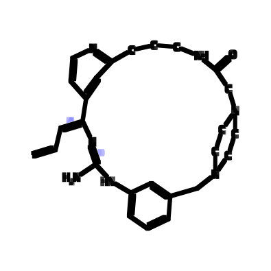 C=C/C=C1\N=C(/N)Nc2cccc(c2)CN2CCN(CC2)CC(=O)NCCCc2cc1ccn2